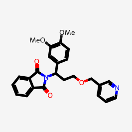 COc1ccc(C(CCOCc2cccnc2)N2C(=O)c3ccccc3C2=O)cc1OC